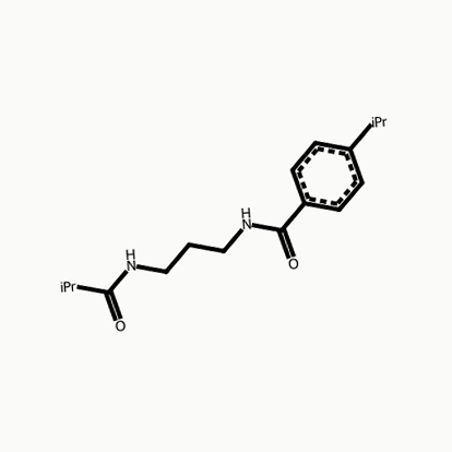 CC(C)C(=O)NCCCNC(=O)c1ccc(C(C)C)cc1